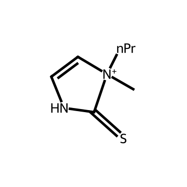 CCC[N+]1(C)C=CNC1=S